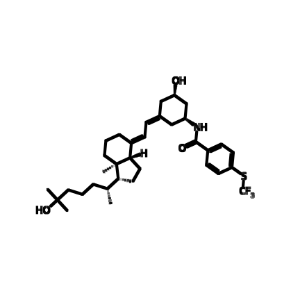 C[C@H](CCCC(C)(C)O)[C@H]1CC[C@H]2/C(=C/C=C3/C[C@@H](O)C[C@@H](NC(=O)c4ccc(SC(F)(F)F)cc4)C3)CCC[C@]12C